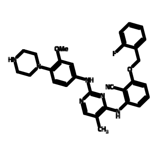 COc1cc(Nc2ncc(C)c(Nc3cccc(OCc4ccccc4F)c3C#N)n2)ccc1N1CCNCC1